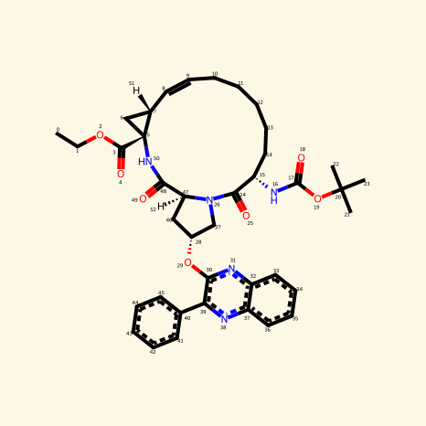 CCOC(=O)[C@@]12C[C@@H]1/C=C\CCCCC[C@H](NC(=O)OC(C)(C)C)C(=O)N1C[C@H](Oc3nc4ccccc4nc3-c3ccccc3)C[C@H]1C(=O)N2